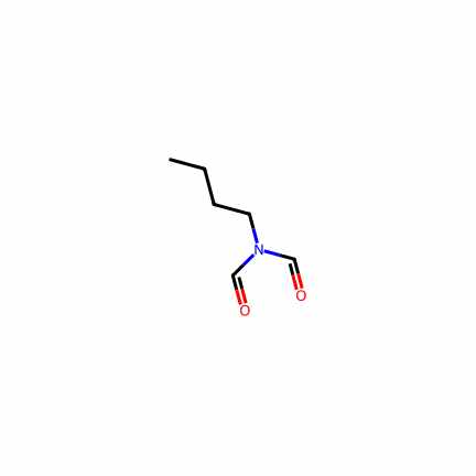 CCCCN(C=O)C=O